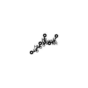 N=C(NC(=O)OCc1ccccc1)c1ccc(C[C@H](NC(=O)OCc2ccccc2)C(=O)Nc2cccc(C(=O)NCCC(=O)OCc3ccccc3)c2)cc1